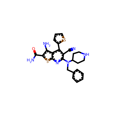 N#Cc1c(N(Cc2ccccc2)C2CCNCC2)nc2sc(C(N)=O)c(N)c2c1-c1cccs1